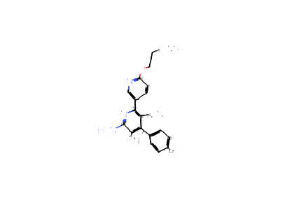 COCCOc1ccc(-c2nc(N)c(C#N)c(-c3ccc(C(F)(F)F)cc3)c2C#N)cn1